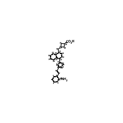 Nc1ccccc1/C=C/c1nc(-c2ccc(CN3CC(C(=O)O)C3)c3ccccc23)no1